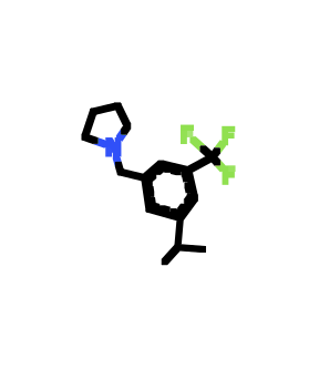 CC(C)c1cc(CN2CCCC2)cc(C(F)(F)F)c1